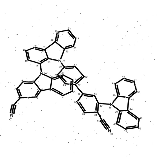 N#Cc1ccc2c(c1)c1ccccc1n2-c1cccc2c3ccccc3n(-c3ccc(-c4ccc(C#N)c(-n5c6ccccc6c6ccccc65)c4)cc3)c12